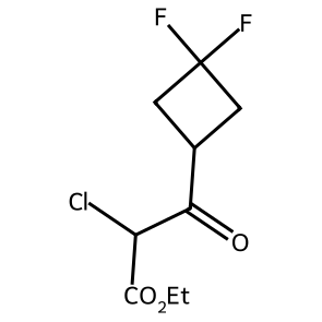 CCOC(=O)C(Cl)C(=O)C1CC(F)(F)C1